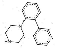 [c]1ncccc1-c1ccccc1N1CCNCC1